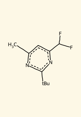 Cc1cc(C(F)F)nc(C(C)(C)C)n1